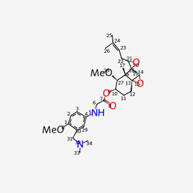 COc1ccc(NCC(=O)O[C@@H]2CC[C@]3(CO3)[C@@](C)([C@@]3(C)OC3CC=C(C)C)[C@@H]2OC)cc1CN(C)C